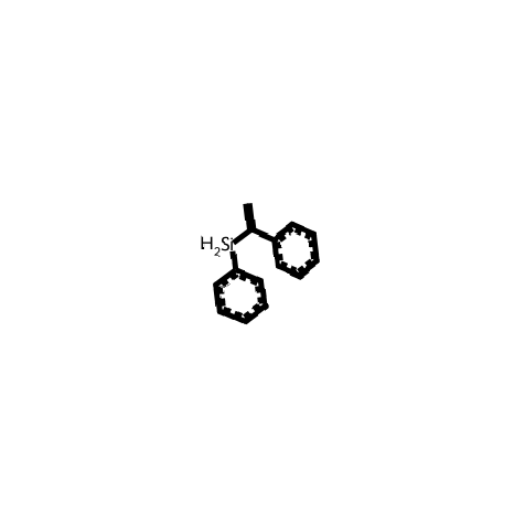 C=C([SiH2]c1ccccc1)c1ccccc1